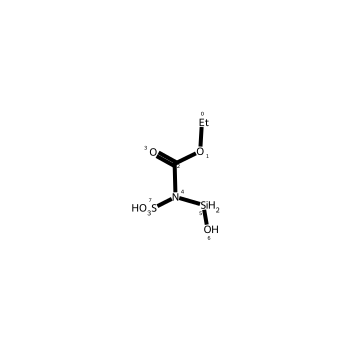 CCOC(=O)N([SiH2]O)S(=O)(=O)O